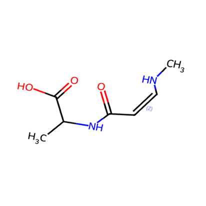 CN/C=C\C(=O)NC(C)C(=O)O